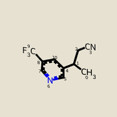 CC(CC#N)c1cncc(C(F)(F)F)c1